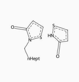 CCCCCCCCn1sccc1=O.O=c1ccs[nH]1